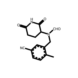 Cc1ccc(C#N)cc1CN(C=O)C1CCC(=O)NC1=O